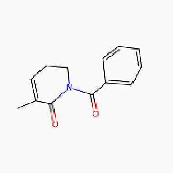 CC1=CCCN(C(=O)c2ccccc2)C1=O